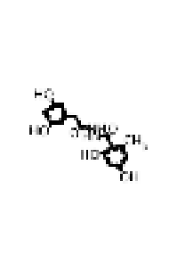 Cc1cc(O)cc(O)c1C(=O)NNC(=O)Cc1cc(O)cc(O)c1